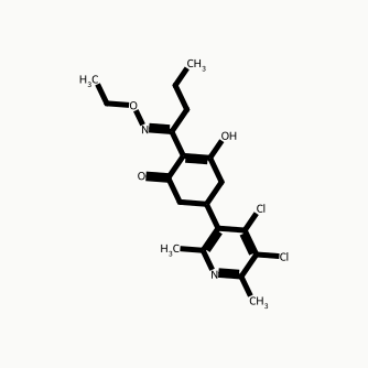 CCCC(=NOCC)C1=C(O)CC(c2c(C)nc(C)c(Cl)c2Cl)CC1=O